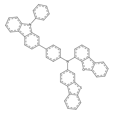 c1ccc(-n2c3ccccc3c3ccc(-c4ccc(N(c5ccc6c(c5)sc5ccccc56)c5cccc6c5oc5ccccc56)cc4)cc32)cc1